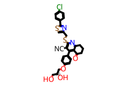 N#Cc1c(SCc2csc(-c3ccc(Cl)cc3)n2)nc2c(c1-c1ccc(OC[C@@H](O)CO)cc1)C(=O)CCC2